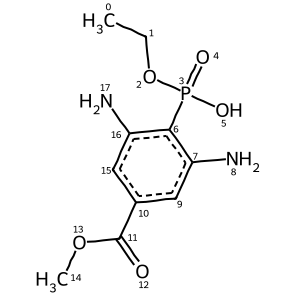 CCOP(=O)(O)c1c(N)cc(C(=O)OC)cc1N